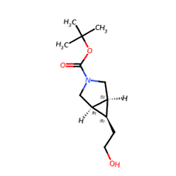 CC(C)(C)OC(=O)N1C[C@@H]2[C@H](CCO)[C@@H]2C1